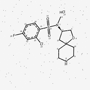 CN([C@H]1COC2(CCNCC2)C1)S(=O)(=O)c1ccc(F)cc1Cl.Cl